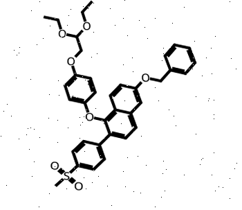 CCOC(COc1ccc(Oc2c(-c3ccc(S(C)(=O)=O)cc3)ccc3cc(OCc4ccccc4)ccc23)cc1)OCC